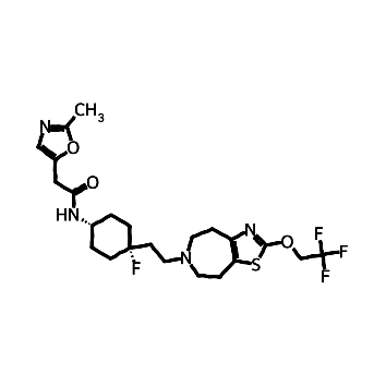 Cc1ncc(CC(=O)N[C@H]2CC[C@](F)(CCN3CCc4nc(OCC(F)(F)F)sc4CC3)CC2)o1